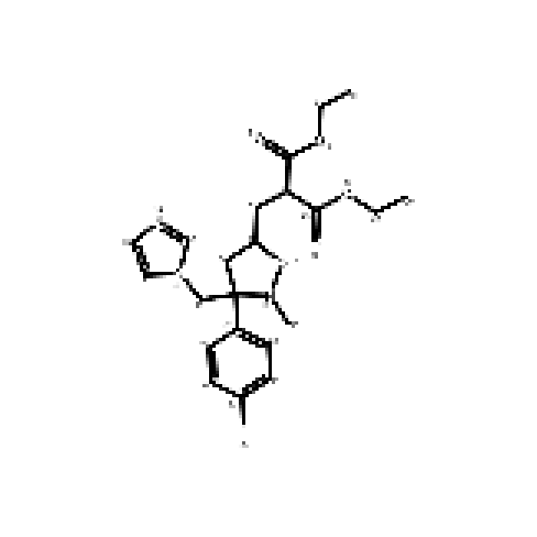 CCOC(=O)C(CC1CC(Cn2ccnc2)(c2ccc(F)cc2)N(C)O1)C(=O)OCC